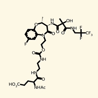 CC(=O)NC(CCC(=O)O)C(=O)NCCNC(=O)OCCN1C(=O)[C@@H](NC(=O)C(C)(O)C(=O)NCC(F)(F)C(F)(F)F)[C@@H](C)Oc2ccc(F)cc21